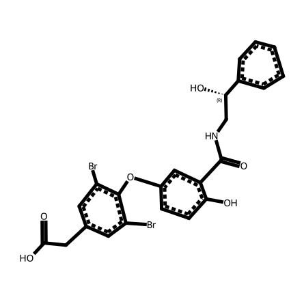 O=C(O)Cc1cc(Br)c(Oc2ccc(O)c(C(=O)NC[C@H](O)c3ccccc3)c2)c(Br)c1